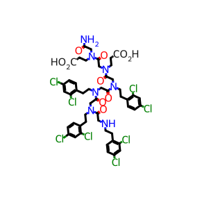 NC(=O)CN(CCC(=O)O)C(=O)CN(CCC(=O)O)C(=O)CN(CCc1ccc(Cl)cc1Cl)C(=O)CN(CCc1ccc(Cl)cc1Cl)C(=O)CN(CCc1ccc(Cl)cc1Cl)C(=O)CNCCc1ccc(Cl)cc1Cl